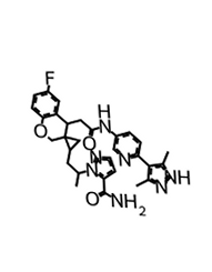 Cc1n[nH]c(C)c1-c1ccc(NC(=O)CC2c3cc(F)ccc3OCC23CC3CC(C)n2nccc2C(N)=O)cn1